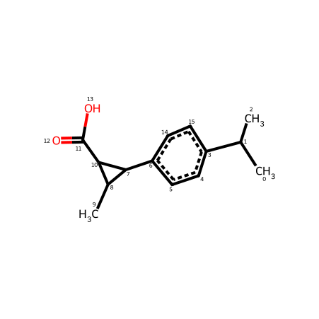 CC(C)c1ccc(C2C(C)C2C(=O)O)cc1